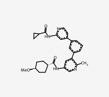 CO[C@H]1CC[C@H](C(=O)Nc2cnc(C)c(-c3cccc(-c4ccnc(NC(=O)C5CC5)c4)c3)c2)CC1